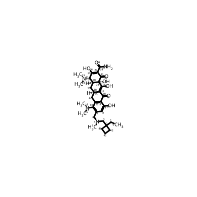 CCC1(CN(C)Cc2cc(O)c3c(c2N(C)C)C[C@H]2C[C@H]4[C@H](N(C)C)C(O)=C(C(N)=O)C(=O)[C@@]4(O)C(O)=C2C3=O)CCC1